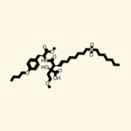 CCCCCCCS(=O)(=O)CCCCCCC=C[C@H](C(=O)N[C@@H](Cc1ccc(OCCCC)cc1)C(=O)OC)[C@@](O)(CCOC)C(=O)O